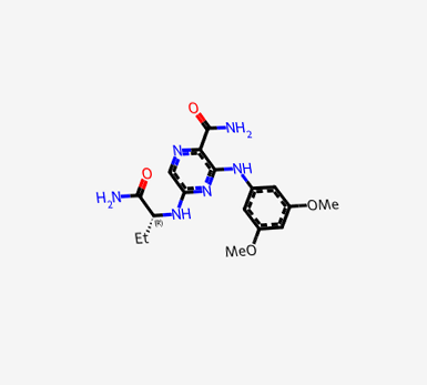 CC[C@@H](Nc1cnc(C(N)=O)c(Nc2cc(OC)cc(OC)c2)n1)C(N)=O